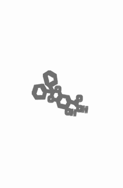 O=C(O)c1cc2c(cc1O)OC(c1ccccc1)(c1ccccc1)O2